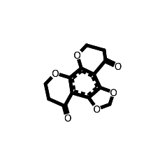 O=C1CCOc2c3c(c4c(c21)OCO4)C(=O)CCO3